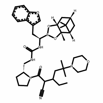 CCC(CC(C)(C)N1CCOCC1)C(C#N)C(=O)N1CCC[C@@H]1CNC(=O)N[C@@H](Cc1coc2ccccc12)B1O[C@@H]2C[C@@H]3C[C@@H](C3(C)C)[C@]2(C)O1